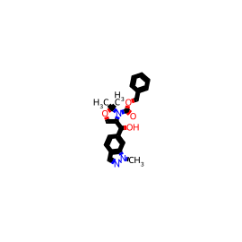 Cn1ncc2ccc(C(O)C3COC(C)(C)N3C(=O)OCc3ccccc3)cc21